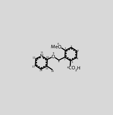 COc1cccc(C(=O)O)c1COc1ncccc1C